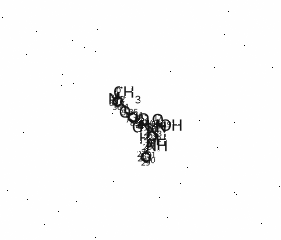 Cc1cc(COc2ccc(S(=O)(=O)NC[C@@H](C(=O)NO)N3CCC(NCc4ccccc4)CC3)cc2)ccn1